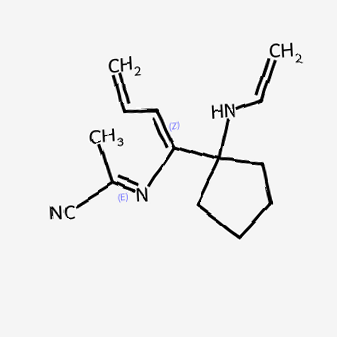 C=C/C=C(\N=C(/C)C#N)C1(NC=C)CCCC1